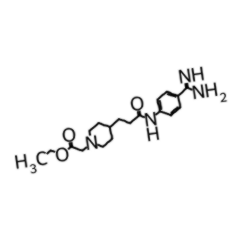 CCOC(=O)CN1CCC(CCC(=O)Nc2ccc(C(=N)N)cc2)CC1